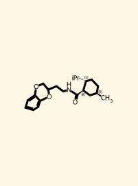 CC(C)[C@@H]1CC[C@@H](C)C[C@H]1C(=O)NCCC1COc2ccccc2O1